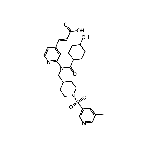 Cc1cncc(S(=O)(=O)N2CCC(CN(C(=O)C3CCC(O)CC3)c3cc(C=CC(=O)O)ccn3)CC2)c1